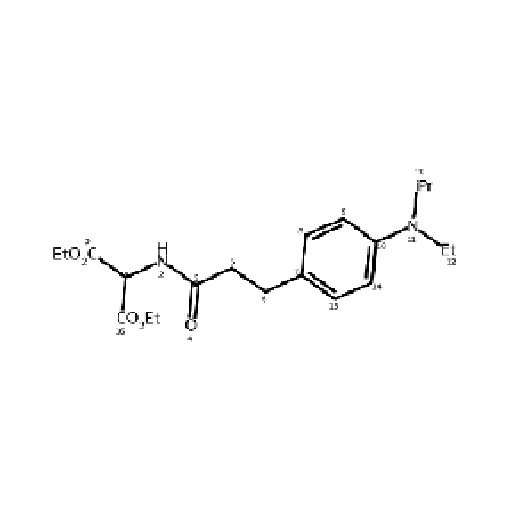 CCOC(=O)C(NC(=O)CCc1ccc(N(CC)C(C)C)cc1)C(=O)OCC